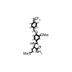 COc1cc(CNC(CCSC)C(N)=O)ccc1OCc1ccc(SC(F)(F)F)cc1